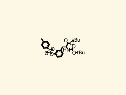 Cc1ccc(S(=O)(=O)Oc2cccc(C[C@H](NC(=O)OC(C)(C)C)C(=O)OC(C)(C)C)c2)cc1